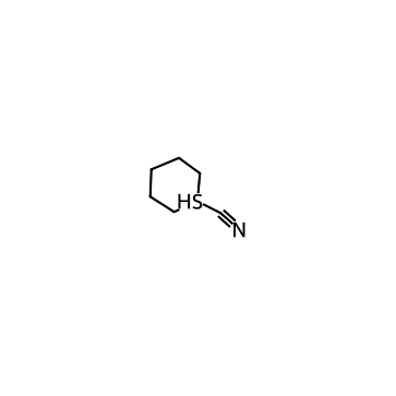 N#C[SH]1CCCCC1